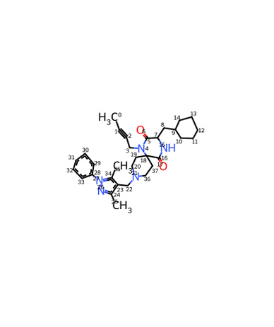 CC#CCN1C(=O)C(CC2CCCCC2)NC(=O)C12CCN(Cc1c(C)nn(-c3ccccc3)c1C)CC2